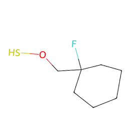 FC1(COS)CCCCC1